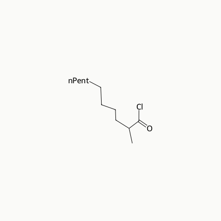 CCCCCCCCCC(C)C(=O)Cl